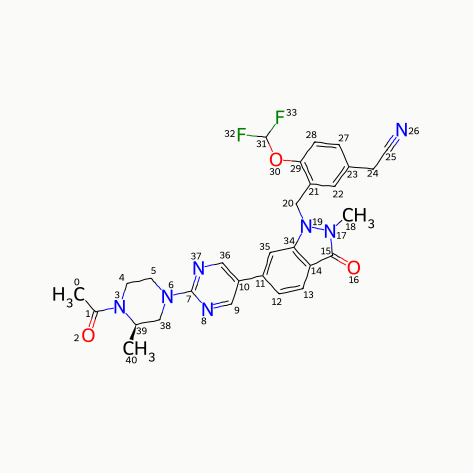 CC(=O)N1CCN(c2ncc(-c3ccc4c(=O)n(C)n(Cc5cc(CC#N)ccc5OC(F)F)c4c3)cn2)C[C@H]1C